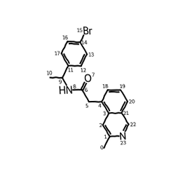 Cc1cc2c(CC(=O)NC(C)c3ccc(Br)cc3)cccc2cn1